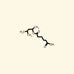 CC(C)CC(C)OC(=O)CCCCC(=O)O